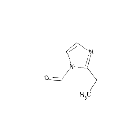 CCc1nccn1C=O